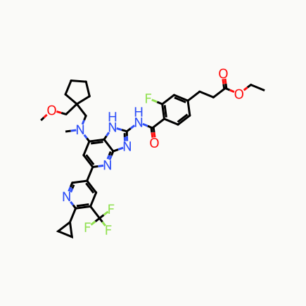 CCOC(=O)CCc1ccc(C(=O)Nc2nc3nc(-c4cnc(C5CC5)c(C(F)(F)F)c4)cc(N(C)CC4(COC)CCCC4)c3[nH]2)c(F)c1